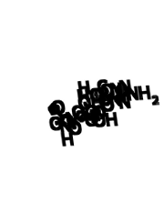 COC1[C@@H](O)[C@@H](COP(=O)(O)OC2C[C@H](n3cc(-c4ccco4)c(=O)[nH]c3=O)O[C@@H]2CO)O[C@H]1n1cnc2c(N)ncnc21